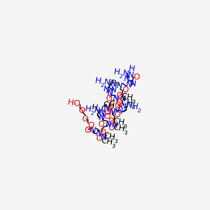 CC(C)N1CC(COP(=O)(N(C)C)N2CC(COP(=O)(N(C)C)N3CC(COP(=O)(N(C)C)N4CC(COP(=O)(N(C)C)N5CCN(C(=O)OCCOCCOCCO)CC5)OC(n5ccc(N)nc5=O)C4)OC(n4ccc(N)nc4=O)C3)OC(n3cnc4c(N)ncnc43)C2)OC(n2cnc3c(=O)[nH]c(N)nc32)C1